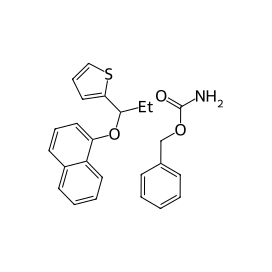 CCC(Oc1cccc2ccccc12)c1cccs1.NC(=O)OCc1ccccc1